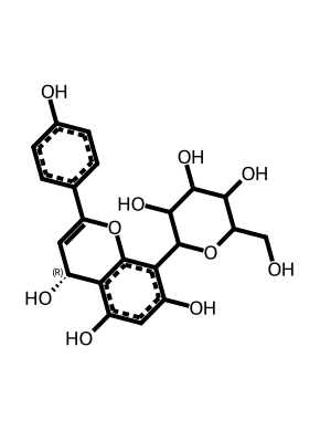 OCC1OC(c2c(O)cc(O)c3c2OC(c2ccc(O)cc2)=C[C@H]3O)C(O)C(O)C1O